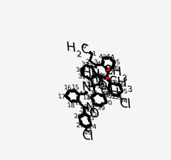 C=CCC(NC(C(C)C)C(O)C(N=Cc1ccccc1-c1noc2cc(Cl)ccc12)(c1ccccc1)c1ccccc1)c1ccccc1-c1noc2cc(Cl)ccc12